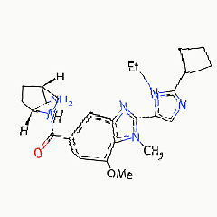 CCn1c(-c2nc3cc(C(=O)N4C[C@H]5CC[C@@H]4[C@@H]5N)cc(OC)c3n2C)cnc1C1CCC1